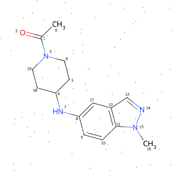 CC(=O)N1CCC(Nc2ccc3c(cnn3C)c2)CC1